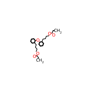 C=CC(=O)OCCCCc1ccccc1Oc1ccccc1CCCCOC(=O)C=C